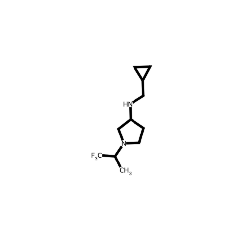 CC(N1CCC(NCC2CC2)C1)C(F)(F)F